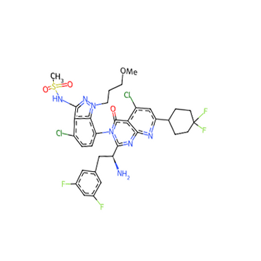 COCCCn1nc(NS(C)(=O)=O)c2c(Cl)ccc(-n3c([C@@H](N)Cc4cc(F)cc(F)c4)nc4nc(C5CCC(F)(F)CC5)cc(Cl)c4c3=O)c21